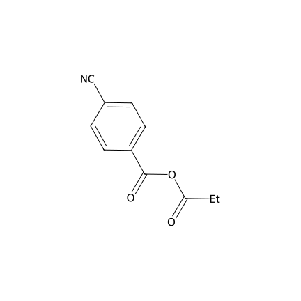 CCC(=O)OC(=O)c1ccc(C#N)cc1